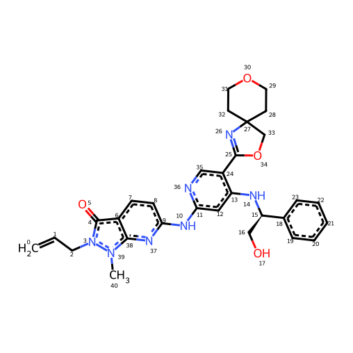 C=CCn1c(=O)c2ccc(Nc3cc(N[C@H](CO)c4ccccc4)c(C4=NC5(CCOCC5)CO4)cn3)nc2n1C